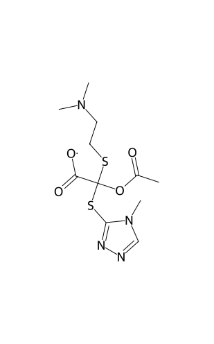 CC(=O)OC(SCCN(C)C)(Sc1nncn1C)C([O])=O